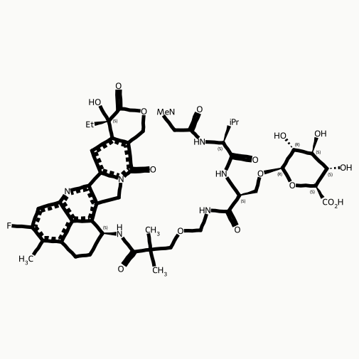 CC[C@@]1(O)C(=O)OCc2c1cc1n(c2=O)Cc2c-1nc1cc(F)c(C)c3c1c2[C@@H](NC(=O)C(C)(C)COCNC(=O)[C@H](CO[C@@H]1O[C@H](C(=O)O)[C@@H](O)[C@H](O)[C@H]1O)NC(=O)[C@@H](NC(=O)CNC)C(C)C)CC3